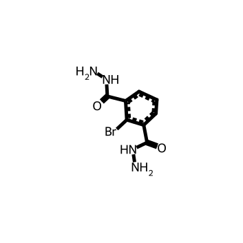 NNC(=O)c1cccc(C(=O)NN)c1Br